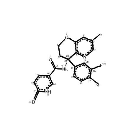 Cc1cnc2c(c1)OCC[C@]2(NC(=O)c1ccc(=O)[nH]c1)c1ccc(C)c(F)c1